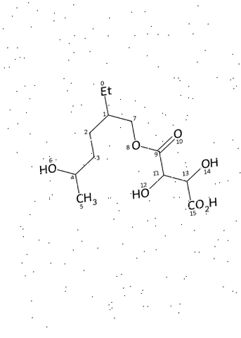 CCC(CCC(C)O)COC(=O)C(O)C(O)C(=O)O